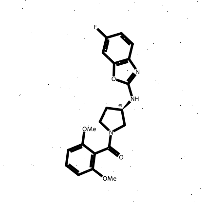 COc1cccc(OC)c1C(=O)N1CC[C@@H](Nc2nc3ccc(F)cc3o2)C1